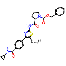 O=C(NC1CC1)c1ccc(-c2nc(NC(=O)[C@@H]3CCCN3C(=O)OCc3ccccc3)sc2C(=O)O)cc1